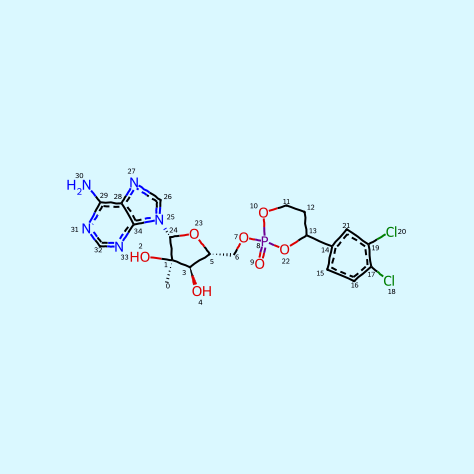 C[C@@]1(O)[C@H](O)[C@@H](COP2(=O)OCCC(c3ccc(Cl)c(Cl)c3)O2)O[C@H]1n1cnc2c(N)ncnc21